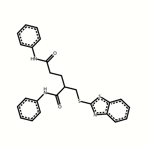 O=C(CCC(CSc1nc2ccccc2s1)C(=O)Nc1ccccc1)Nc1ccccc1